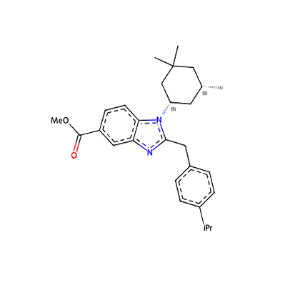 COC(=O)c1ccc2c(c1)nc(Cc1ccc(C(C)C)cc1)n2[C@H]1C[C@@H](C)CC(C)(C)C1